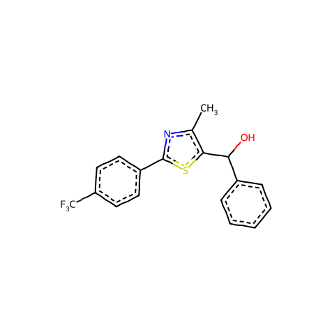 Cc1nc(-c2ccc(C(F)(F)F)cc2)sc1C(O)c1ccccc1